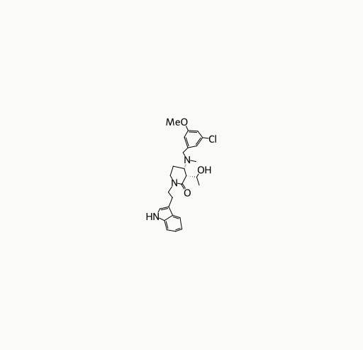 COc1cc(Cl)cc(CN(C)[C@H]2CCN(CCc3c[nH]c4ccccc34)C(=O)[C@H]2C(C)O)c1